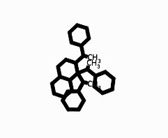 CC(C1CCCCC1)C1CCC2CCCCC2C1(C(C)C1CCCCC1)C(C)C1CCCCC1